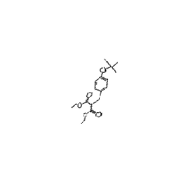 CCOC(=O)C(Cc1ccc(OC(C)(C)C)cc1)C(=O)OCC